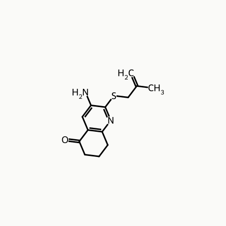 C=C(C)CSc1nc2c(cc1N)C(=O)CCC2